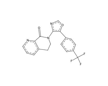 O=C1c2ncccc2CCN1c1ncoc1-c1ccc(C(F)(F)F)cc1